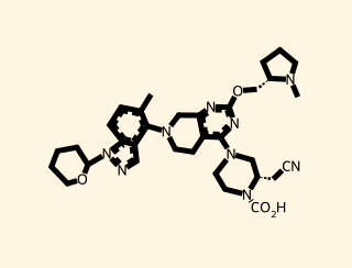 Cc1ccc2c(cnn2C2CCCCO2)c1N1CCc2c(nc(OC[C@@H]3CCCN3C)nc2N2CCN(C(=O)O)[C@@H](CC#N)C2)C1